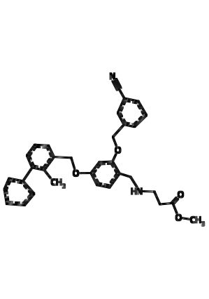 COC(=O)CCNCc1ccc(OCc2cccc(-c3ccccc3)c2C)cc1OCc1cccc(C#N)c1